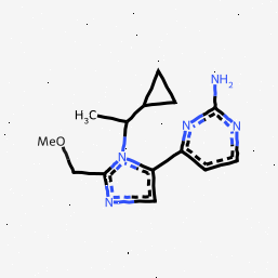 COCc1ncc(-c2ccnc(N)n2)n1C(C)C1CC1